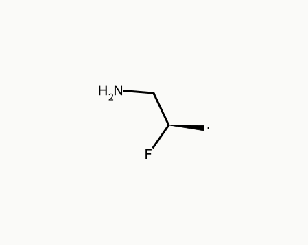 [CH2][C@@H](F)CN